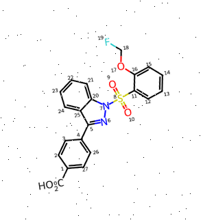 O=C(O)c1ccc(-c2nn(S(=O)(=O)c3ccccc3OCF)c3ccccc23)cc1